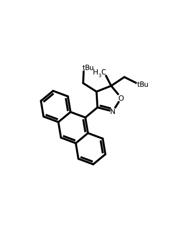 CC(C)(C)CC1C(c2c3ccccc3cc3ccccc23)=NOC1(C)CC(C)(C)C